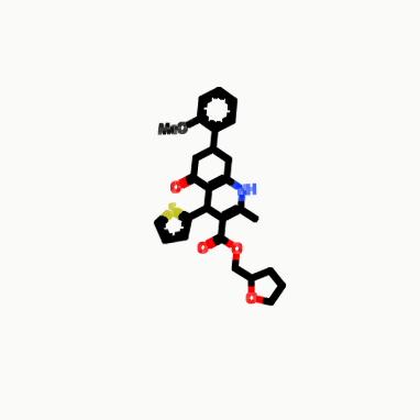 COc1ccccc1C1CC(=O)C2=C(C1)NC(C)=C(C(=O)OCC1CCCO1)C2c1cccs1